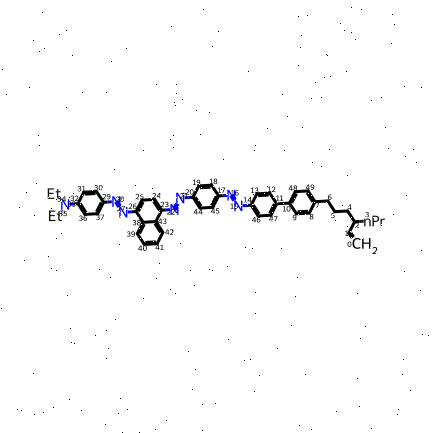 C=CC(CCC)CCCc1ccc(-c2ccc(N=Nc3ccc(N=Nc4ccc(N=Nc5ccc(N(CC)CC)cc5)c5ccccc45)cc3)cc2)cc1